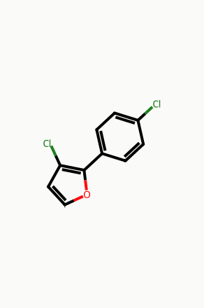 Clc1ccc(-c2o[c]cc2Cl)cc1